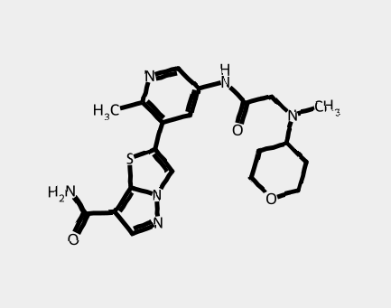 Cc1ncc(NC(=O)CN(C)C2CCOCC2)cc1-c1cn2ncc(C(N)=O)c2s1